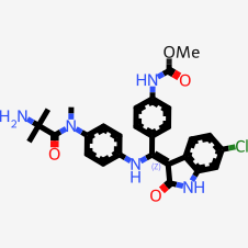 COC(=O)Nc1ccc(/C(Nc2ccc(N(C)C(=O)C(C)(C)N)cc2)=C2/C(=O)Nc3cc(Cl)ccc32)cc1